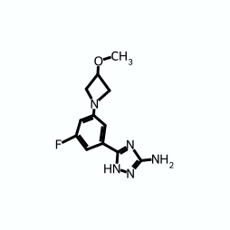 COC1CN(c2cc(F)cc(-c3nc(N)n[nH]3)c2)C1